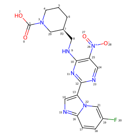 O=C(O)N1CCC[C@@H](CNc2nc(-c3cnc4ccc(F)cn34)ncc2[N+](=O)[O-])C1